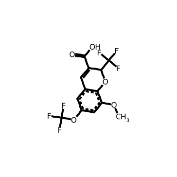 COc1cc(OC(F)(F)F)cc2c1OC(C(F)(F)F)C(C(=O)O)=C2